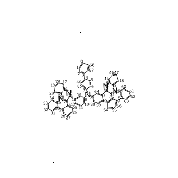 c1ccc(-c2ccc(N(c3cccc(-c4nc5ccccc5nc4-c4ccccc4-c4ccccc4)c3)c3cccc(-c4nc5ccccc5nc4-c4ccccc4-c4ccccc4)c3)cc2)cc1